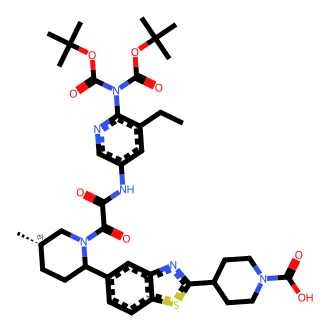 CCc1cc(NC(=O)C(=O)N2C[C@@H](C)CCC2c2ccc3sc(C4CCN(C(=O)O)CC4)nc3c2)cnc1N(C(=O)OC(C)(C)C)C(=O)OC(C)(C)C